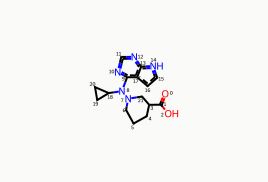 O=C(O)C1CCCN(N(c2ncnc3[nH]ccc23)C2CC2)C1